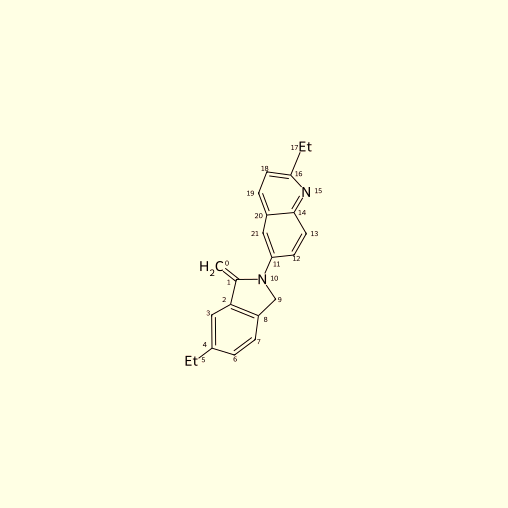 C=C1c2cc(CC)ccc2CN1c1ccc2nc(CC)ccc2c1